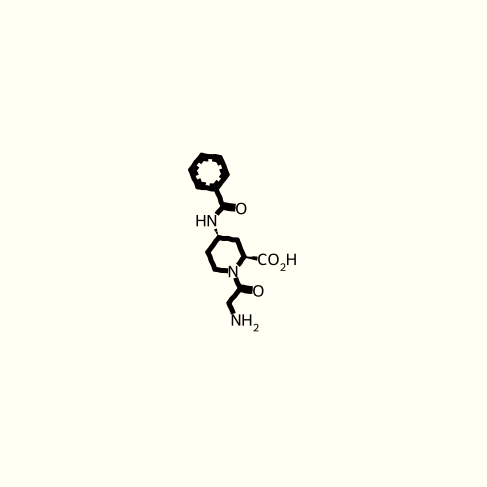 NCC(=O)N1CC[C@H](NC(=O)c2ccccc2)C[C@H]1C(=O)O